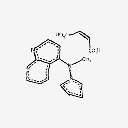 CN(c1ccnc2ccccc12)n1cccc1.O=C(O)/C=C\C(=O)O